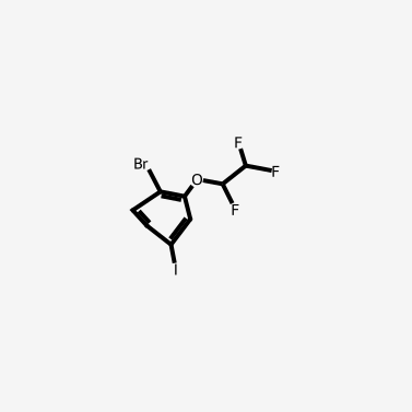 FC(F)C(F)Oc1cc(I)ccc1Br